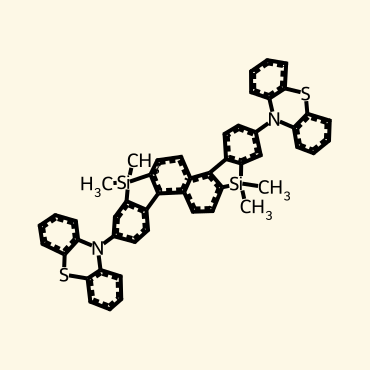 C[Si]1(C)c2cc(N3c4ccccc4Sc4ccccc43)ccc2-c2c1ccc1c3c(ccc21)[Si](C)(C)c1cc(N2c4ccccc4Sc4ccccc42)ccc1-3